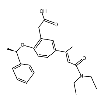 CCN(CC)C(=O)/C=C(\C)c1ccc(O[C@H](C)c2ccccc2)c(CC(=O)O)c1